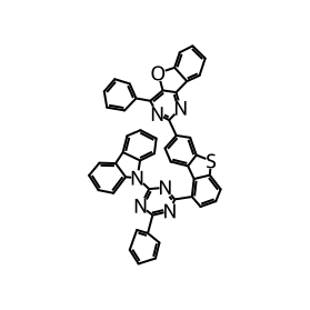 c1ccc(-c2nc(-c3cccc4sc5cc(-c6nc(-c7ccccc7)c7oc8ccccc8c7n6)ccc5c34)nc(-n3c4ccccc4c4ccccc43)n2)cc1